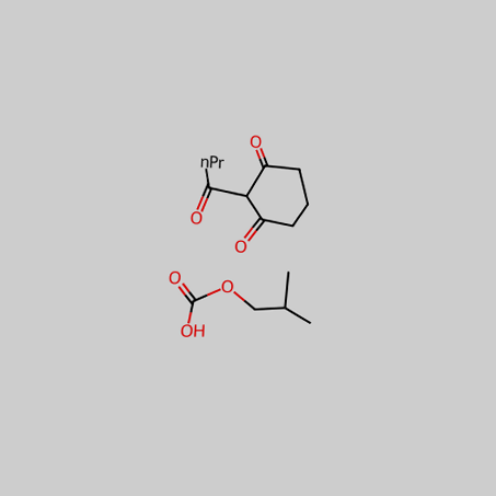 CC(C)COC(=O)O.CCCC(=O)C1C(=O)CCCC1=O